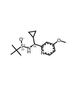 COc1ccnc([C@@H](N[S@+]([O-])C(C)(C)C)C2CC2)c1